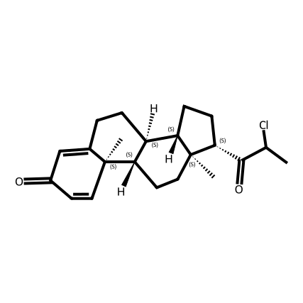 CC(Cl)C(=O)[C@H]1CC[C@H]2[C@@H]3CCC4=CC(=O)C=C[C@]4(C)[C@H]3CC[C@]12C